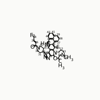 Cc1cc2c(nc(O[C@@H](C)[C@@H]3CCCN3C)c3nnn(C4CCN(C(=O)/C=C/CF)CC4)c32)c(F)c1-c1cccc2cccc(C#N)c12